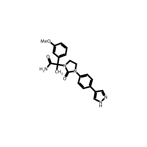 COc1cccc(C(C)(C(N)=O)N2CCN(c3ccc(-c4cn[nH]c4)cc3)C2=O)c1